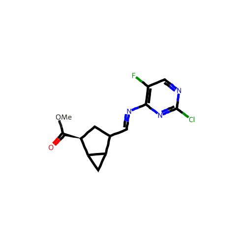 COC(=O)[C@H]1CC(/C=N/c2nc(Cl)ncc2F)C2CC21